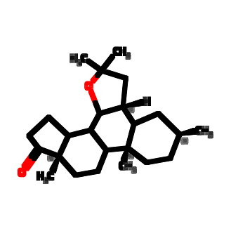 C[C@H]1CC[C@]2(C)C3CC[C@]4(C)C(=O)CCC4C3C3OC(C)(C)C[C@@H]3C2C1